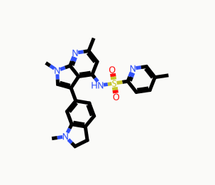 Cc1ccc(S(=O)(=O)Nc2cc(C)nc3c2c(-c2ccc4c(c2)N(C)CC4)cn3C)nc1